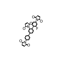 O=C1C=CC(=O)N1c1ccc(-c2ccc(-c3ccc(N4C(=O)C=CC4=O)cc3F)c(N3C(=O)C=CC3=O)c2)cc1